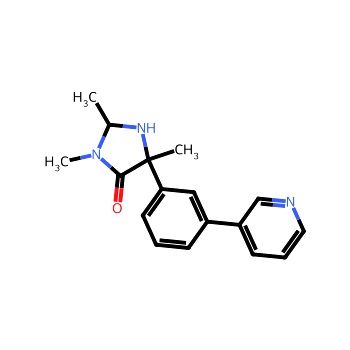 CC1NC(C)(c2cccc(-c3cccnc3)c2)C(=O)N1C